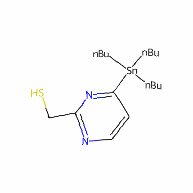 CCC[CH2][Sn]([CH2]CCC)([CH2]CCC)[c]1ccnc(CS)n1